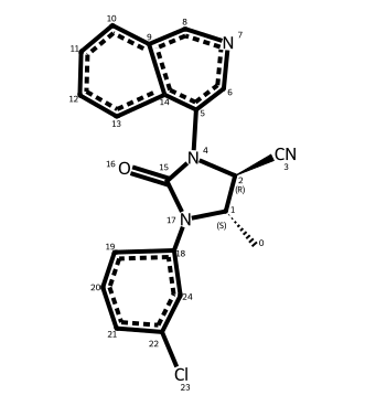 C[C@H]1[C@H](C#N)N(c2cncc3ccccc23)C(=O)N1c1cccc(Cl)c1